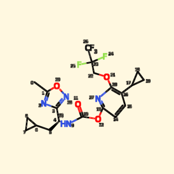 Cc1nc([C@H](CC2CC2)NC(=O)Oc2ccc(C3CC3)c(OCC(F)(F)C(F)(F)F)n2)no1